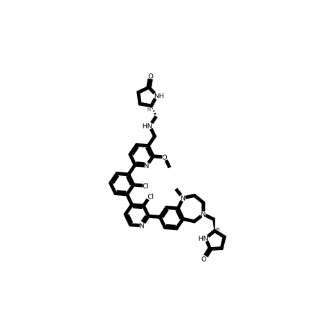 COc1nc(-c2cccc(-c3ccnc(-c4ccc5c(c4)N(C)CCN(C[C@H]4CCC(=O)N4)C5)c3Cl)c2Cl)ccc1CNC[C@@H]1CCC(=O)N1